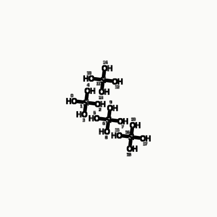 O[Si](O)(O)O.O[Si](O)(O)O.O[Si](O)(O)O.O[Si](O)(O)O